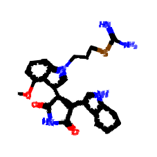 COc1cccc2c1c(C1=C(c3c[nH]c4ccccc34)C(=O)NC1=O)cn2CCCSC(=N)N